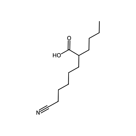 CCCCC(CCCCCC#N)C(=O)O